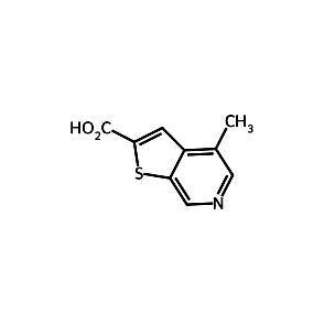 Cc1cncc2sc(C(=O)O)cc12